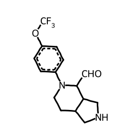 O=CC1C2CNCC2CCN1c1ccc(OC(F)(F)F)cc1